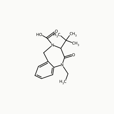 CCN1C(=O)C(C(C)(C)C)N(C(=O)O)Cc2ccccc21